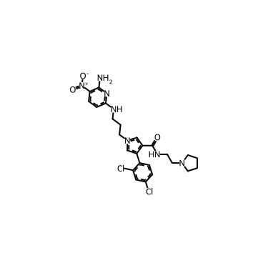 Nc1nc(NCCCn2cc(C(=O)NCCN3CCCC3)c(-c3ccc(Cl)cc3Cl)c2)ccc1[N+](=O)[O-]